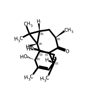 CC1=C[C@H]2C(C)=CC(O)[C@]23C(=O)[C@H](C)C[C@@H]2[C@H]([C@@H]3[C@H]1O)C2(C)C